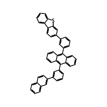 c1cc(-c2ccc3ccccc3c2)cc(-c2c3ccccc3c(-c3cccc(-c4ccc5c(c4)sc4ccccc45)c3)c3ccccc23)c1